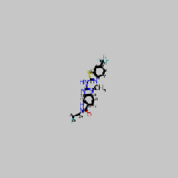 Cn1c(Nc2nc3ccc(C(F)(F)F)cc3s2)nc2cc(C(=O)NCCF)ccc21